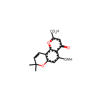 COc1cc2c(c3oc(C(=O)O)cc(=O)c13)C=CC(C)(C)O2